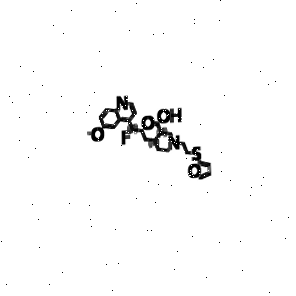 COc1ccc2nccc([C@H](F)CC[C@@H]3CCN(CCSc4ccco4)C[C@@H]3C(=O)O)c2c1